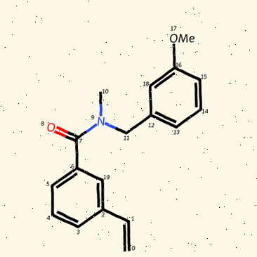 C=Cc1cccc(C(=O)N(C)Cc2cccc(OC)c2)c1